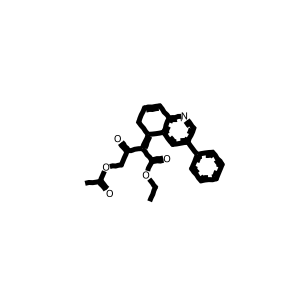 CCOC(=O)C(C(=O)COC(C)=O)=C1CC=Cc2ncc(-c3ccccc3)cc21